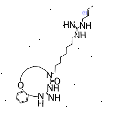 C/C=C/CNC(=N)NCCCCCCCCN1CCCCCCOc2ccccc2CNC(=N)NC1=O